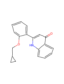 O=c1cc(-c2ccccc2OCC2CC2)[nH]c2ccccc12